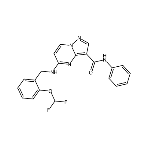 O=C(Nc1ccccc1)c1cnn2ccc(NCc3ccccc3OC(F)F)nc12